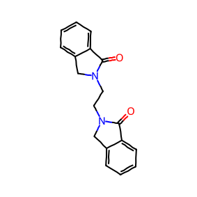 O=C1c2ccccc2CN1CCN1Cc2ccccc2C1=O